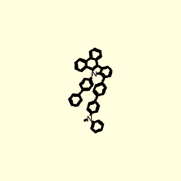 CN(c1ccccc1)c1ccc(-c2ccc(-c3cccc4c5c6ccccc6c6ccccc6c5n(-c5ccc(-c6ccccc6)cc5)c34)cc2)cc1